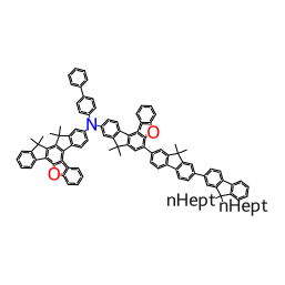 CCCCCCCC1(CCCCCCC)c2ccccc2-c2ccc(-c3ccc4c(c3)C(C)(C)c3cc(-c5cc6c(c7c5oc5ccccc57)-c5ccc(N(c7ccc(-c8ccccc8)cc7)c7ccc8c(c7)C(C)(C)c7c9c(c%10oc%11ccccc%11c%10c7-8)-c7ccccc7C9(C)C)cc5C6(C)C)ccc3-4)cc21